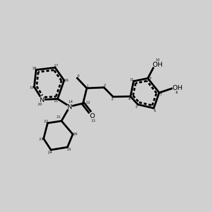 CC(CCc1ccc(O)c(O)c1)C(=O)N(c1ccccn1)C1CCCCC1